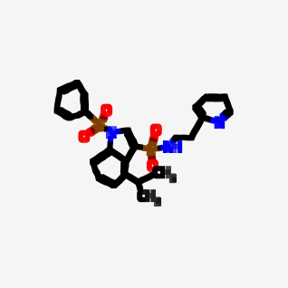 CC(C)c1cccc2c1c(S(=O)(=O)NCCc1ccccn1)cn2S(=O)(=O)c1ccccc1